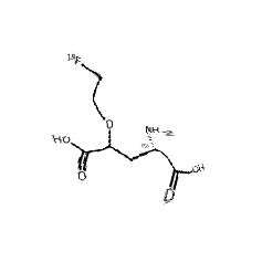 N[C@@H](CC(OCC[18F])C(=O)O)C(=O)O